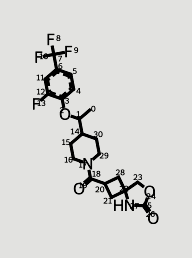 CC(Oc1ccc(C(F)(F)F)cc1F)C1CCN(C(=O)C2CC3(COC(=O)N3)C2)CC1